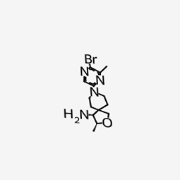 Cc1nc(N2CCC3(CC2)CO[C@@H](C)[C@H]3N)cnc1Br